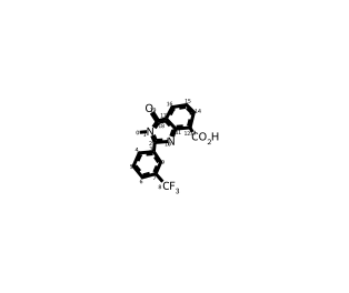 Cn1c(-c2cccc(C(F)(F)F)c2)nc2c(C(=O)O)cccc2c1=O